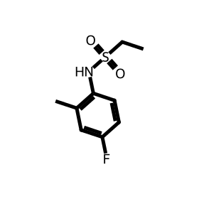 CCS(=O)(=O)Nc1ccc(F)cc1C